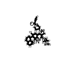 CC#CC(=O)N1CCC(n2ncc3c(N4CC(C)(N(C)C)C4)nc4c(F)c(-c5cccc6cccc(C#N)c56)c(C)cc4c32)CC1